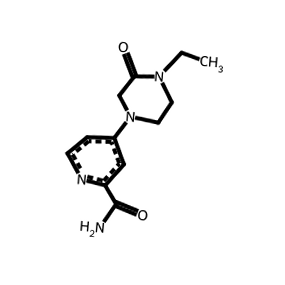 CCN1CCN(c2ccnc(C(N)=O)c2)CC1=O